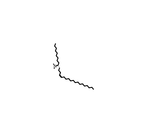 CCCCCCCCCCCCCC/C=C\CCC[C@@H](CCCCCCCCC)N(C)C